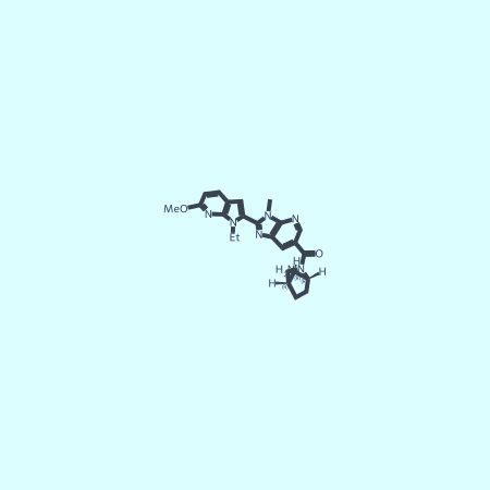 CCn1c(-c2nc3cc(C(=O)N4C[C@H]5CC[C@@H]4[C@@H]5N)cnc3n2C)cc2ccc(OC)nc21